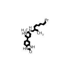 C/C=C(/C=C\C=C\C=C/C(C)C)CN[C@]1(C)C=CC(c2ccc3[nH]c(=O)[nH]c3c2)=CN1